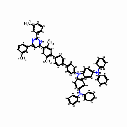 Cc1cccc(-c2cc(-c3cc(C)c(-c4ccc(-c5ccc(-n6c7ccc(N(c8ccccc8)c8ccccc8)cc7c7cc(N(c8ccccc8)c8ccccc8)ccc76)cc5)cc4)cc3C)nc(-c3cccc(C)c3)n2)c1